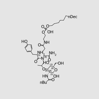 CCCCCCCCCCCCCCCCOP(=O)(O)OCCNC(=O)CC[C@H](C(N)=O)N(CC(C)O[C@H]1[C@H](O)[C@@H](CO)O[C@H](O)[C@@H]1NC(=O)CCCC)C(=O)[C@@H](N)Cc1ccc(O)cc1